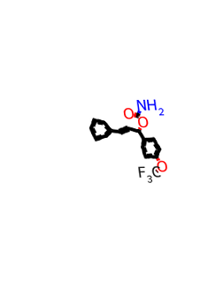 NC(=O)OC(C#Cc1ccccc1)c1ccc(OC(F)(F)F)cc1